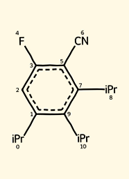 CC(C)c1cc(F)c(C#N)c(C(C)C)c1C(C)C